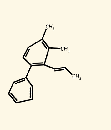 CC=Cc1c(-c2ccccc2)ccc(C)c1C